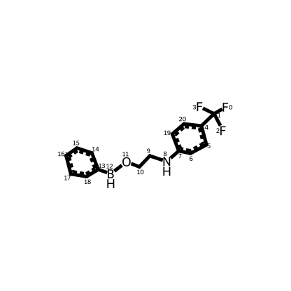 FC(F)(F)c1ccc(NCCOBc2cc[c]cc2)cc1